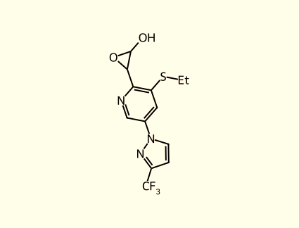 CCSc1cc(-n2ccc(C(F)(F)F)n2)cnc1C1OC1O